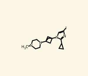 CN1CCN(C23CC(n4cc(I)nc4C4CC4)(C2)C3)CC1